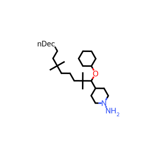 CCCCCCCCCCCCC(C)(C)CCCC(C)(C)C(OC1CCCCC1)C1CCN(N)CC1